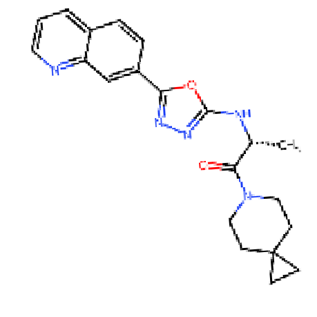 C[C@@H](Nc1nnc(-c2ccc3cccnc3c2)o1)C(=O)N1CCC2(CC1)CC2